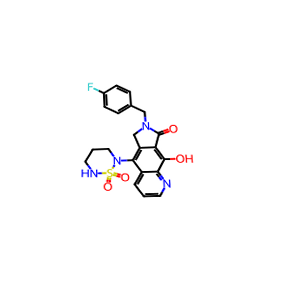 O=C1c2c(c(N3CCCNS3(=O)=O)c3cccnc3c2O)CN1Cc1ccc(F)cc1